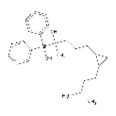 CC(C)CCC1CC1CCCC(C)(C)[Si](O)(c1ccccc1)c1ccccc1